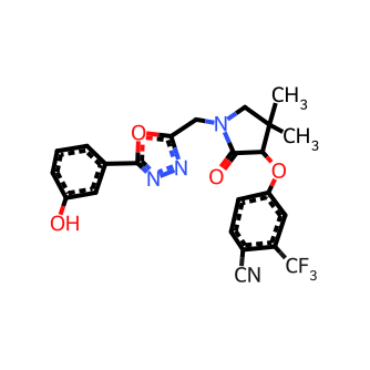 CC1(C)CN(Cc2nnc(-c3cccc(O)c3)o2)C(=O)C1Oc1ccc(C#N)c(C(F)(F)F)c1